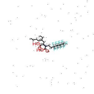 CCCCC(CC)C/C(C(=O)O)=C(\CCC(F)(F)C(F)(F)C(F)(F)C(F)(F)F)C(=O)O